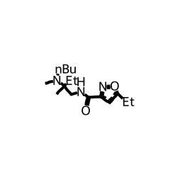 CCCCN(C)C(C)(CC)CNC(=O)c1cc(CC)on1